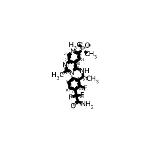 Cc1nc(N[C@H](C)c2cccc(C(F)(F)C(N)=O)c2F)c2cc(P(C)(C)=O)ncc2n1